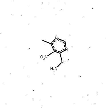 Cc1ncnc(NN)c1[N+](=O)[O-]